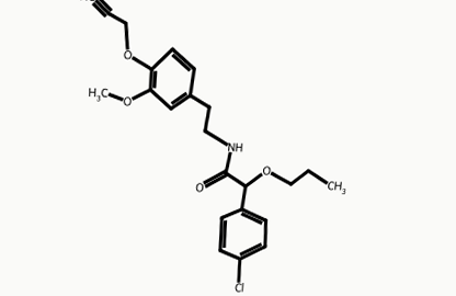 C#CCOc1ccc(CCNC(=O)C(OCCC)c2ccc(Cl)cc2)cc1OC